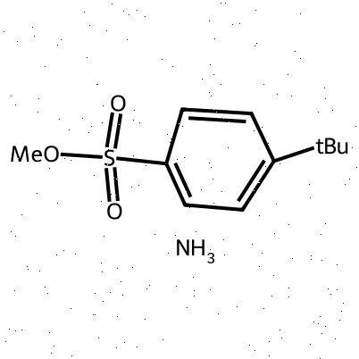 COS(=O)(=O)c1ccc(C(C)(C)C)cc1.N